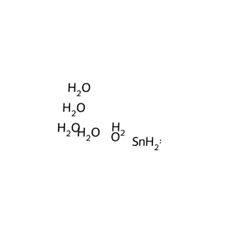 O.O.O.O.O.[SnH2]